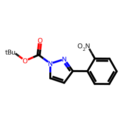 CC(C)(C)OC(=O)n1ccc(-c2ccccc2[N+](=O)[O-])n1